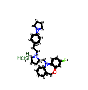 Cl.Cl.Fc1ccc2c(c1)OCc1ccccc1N2C[C@H]1CCCN1CCc1ccc(N2CCCC2)cc1